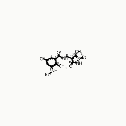 CCNc1cc(Cl)cc(C(=O)NCc2c(C)n(CC)[nH]c2=O)c1C